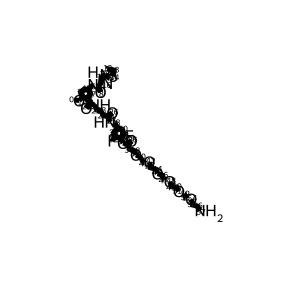 COc1ccc(NC(=O)c2cn3ccsc3n2)cc1C(=O)NCCCC(=O)NCc1cc(F)c(OC(=O)CCOCCOCCOCCOCCOCCOCCN)c(F)c1